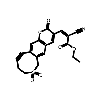 CCOC(=O)C(C#N)=Cc1cc2cc3c(cc2oc1=O)C#CCCS(=O)(=O)C3